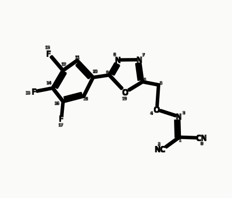 N#CC(C#N)=NOCc1nnc(-c2cc(F)c(F)c(F)c2)o1